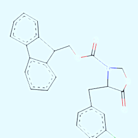 O=C1OCN(C(=O)OCC2c3ccccc3-c3ccccc32)C1Cc1cccc(Cl)c1